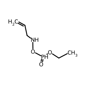 C=CCNO[PH](=O)OCC